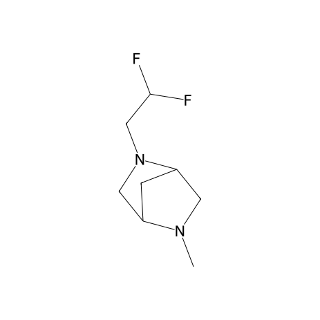 CN1CC2CC1CN2CC(F)F